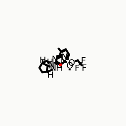 COc1cc(N2C[C@H]3CC[C@@H](C2)[C@@H]3Nc2nc3c(C)ccc(OCC(F)(F)F)n3n2)ccn1